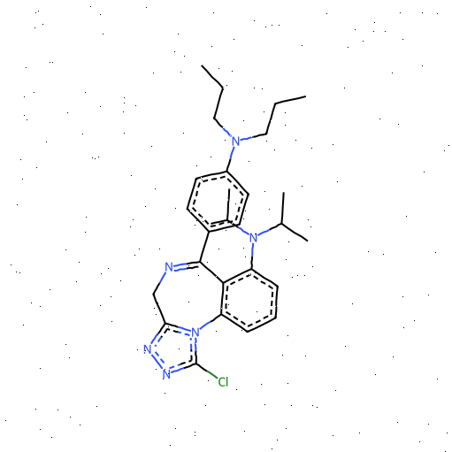 CCCN(CCC)c1ccc(C2=NCc3nnc(Cl)n3-c3cccc(N(C(C)C)C(C)C)c32)cc1